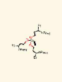 C=C[Si](OCCC(CC)CCCCC)(OCCC(CC)CCCCC)OCCC(CC)CCCCC